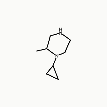 CC1CNCCN1C1CC1